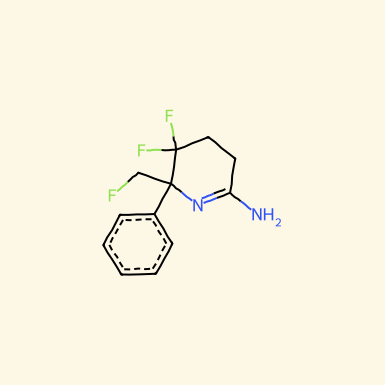 NC1=NC(CF)(c2ccccc2)C(F)(F)CC1